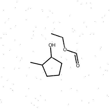 CC1CCCC1O.CCOC=O